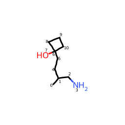 CC(CN)CCC1(O)CCC1